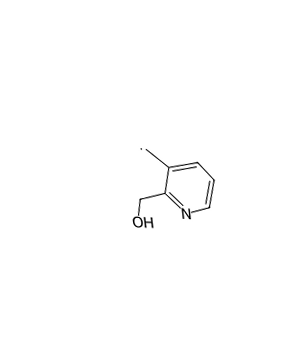 [CH2]c1cccnc1CO